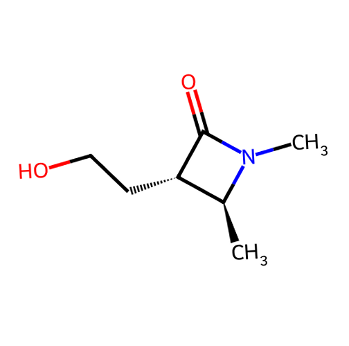 C[C@H]1[C@H](CCO)C(=O)N1C